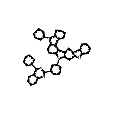 c1ccc(-c2nc(-c3cccc(-n4c5cc6oc7ccccc7c6cc5c5c6c7ccccc7n(-c7ccccc7)c6ccc54)c3)nc3ccccc23)cc1